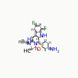 C#CC(=O)N1[C@@H](c2ccc(N)cc2)c2[nH]c3c(F)cc(F)cc3c2C[C@@H]1NCCCC